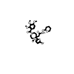 COc1ccc(C(=O)N2CCC(CC(=O)NOC3CCCCO3)(c3ccc(Br)s3)S(=O)(=O)CC2)c(OC)c1OC